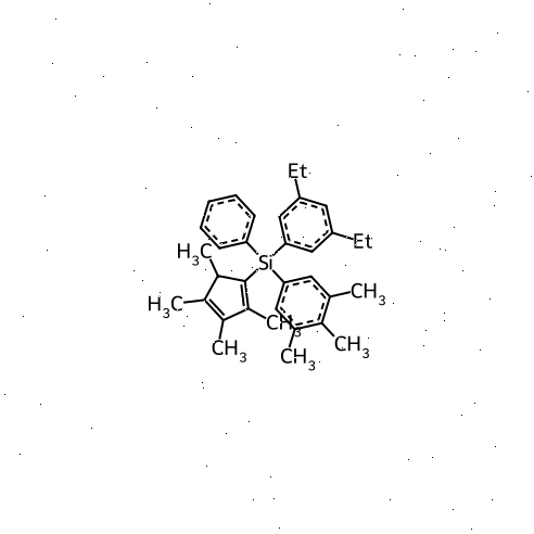 CCc1cc(CC)cc([Si](C2=C(C)C(C)=C(C)C2C)(c2ccccc2)c2cc(C)c(C)c(C)c2)c1